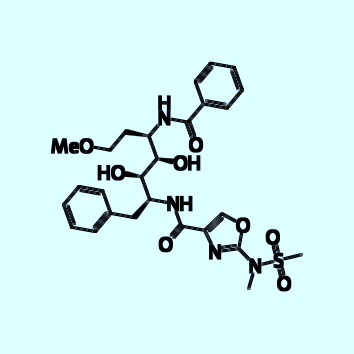 COCC[C@@H](NC(=O)c1ccccc1)[C@@H](O)[C@H](O)[C@H](Cc1ccccc1)NC(=O)c1coc(N(C)S(C)(=O)=O)n1